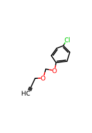 C#CCOCOc1ccc(Cl)cc1